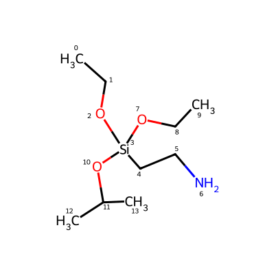 CCO[Si](CCN)(OCC)OC(C)C